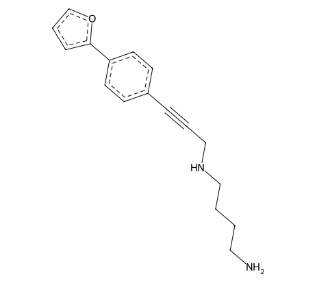 NCCCCNCC#Cc1ccc(-c2ccco2)cc1